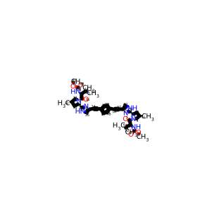 COC(=O)N[C@H](C(=O)N1C[C@H](C)C[C@H]1c1nc(C#Cc2ccc(C#Cc3c[nH]c([C@@H]4C[C@@H](C)CN4C(=O)[C@@H](NC(=O)OC)C(C)C)n3)cc2)c[nH]1)C(C)C